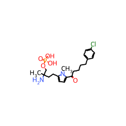 Cn1c(CCC(C)(N)COP(=O)(O)O)ccc1C(=O)CCCCc1ccc(Cl)cc1